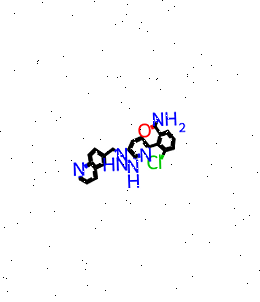 NC(=O)c1cccc(Cl)c1-c1ccc2c(n1)NNN2Cc1ccc2ncccc2c1